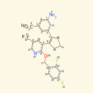 Nc1cc(C(=O)O)cc(C2=C(c3cc(C(F)(F)F)cnc3OCc3ccc(F)cc3F)CCC2)c1